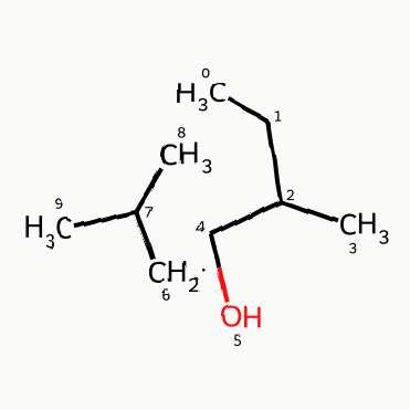 CCC(C)CO.[CH2]C(C)C